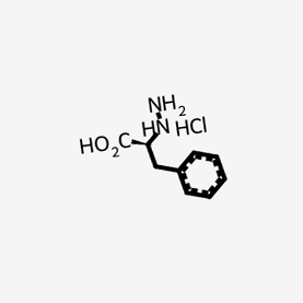 Cl.NN[C@@H](Cc1ccccc1)C(=O)O